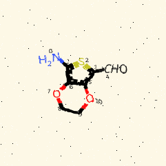 Nc1sc(C=O)c2c1OCCO2